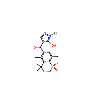 CCn1ncc(C(=O)c2cc(C)c3c(c2C)C(C)(C)CCS3(=O)=O)c1O